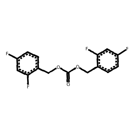 O=C(OCc1ccc(F)cc1F)OCc1ccc(F)cc1F